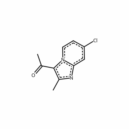 CC(=O)c1c(C)nc2cc(Cl)ccn12